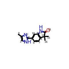 Cc1c[nH]c(-c2ccc3c(c2)NC(=O)C3(C)C)n1